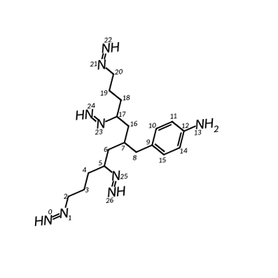 N=NCCCC(CC(Cc1ccc(N)cc1)CC(CCCN=N)N=N)N=N